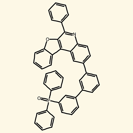 O=P(c1ccccc1)(c1ccccc1)c1cccc(-c2cccc(-c3ccc4nc(-c5ccccc5)c5oc6ccccc6c5c4c3)c2)c1